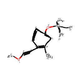 CCOC=Cc1ccc(O[Si](C(C)C)(C(C)C)C(C)C)cc1C(C)(C)C